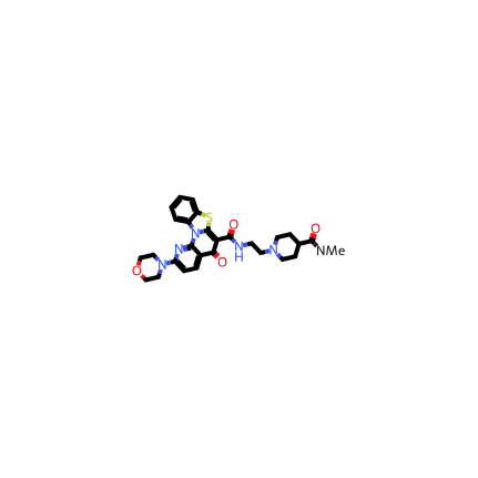 CNC(=O)C1CCN(CCNC(=O)c2c(=O)c3ccc(N4CCOCC4)nc3n3c2sc2ccccc23)CC1